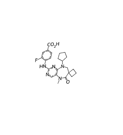 CN1C(=O)C2(CCC2)CN(C2CCCC2)c2nc(Nc3ccc(C(=O)O)cc3F)ncc21